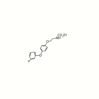 CCOC(=O)NCCOc1ccc(Oc2cccc(F)c2)cc1